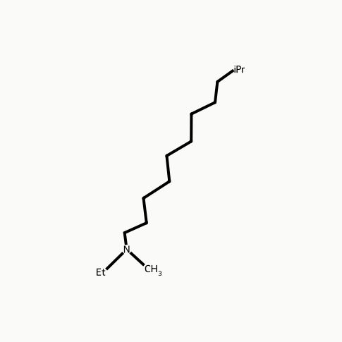 CCN(C)CCCCCCCCCC(C)C